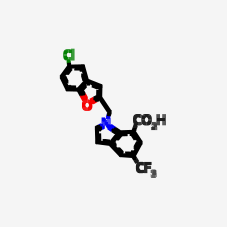 O=C(O)c1cc(C(F)(F)F)cc2ccn(Cc3cc4cc(Cl)ccc4o3)c12